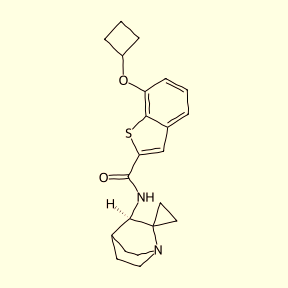 O=C(N[C@@H]1C2CCN(CC2)C12CC2)c1cc2cccc(OC3CCC3)c2s1